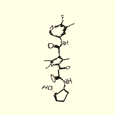 Cc1cc(NC(=O)c2c(C)c(C(=O)C(=O)N[C@H]3CCC[C@@H]3O)n(C)c2C)cnc1F